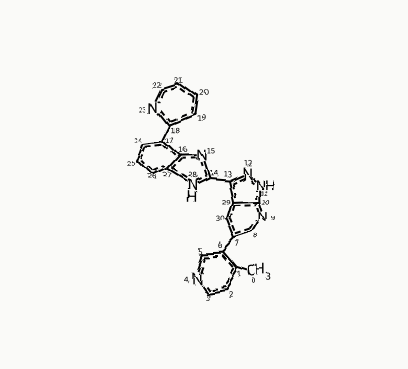 Cc1ccncc1-c1cnc2[nH]nc(-c3nc4c(-c5ccccn5)cccc4[nH]3)c2c1